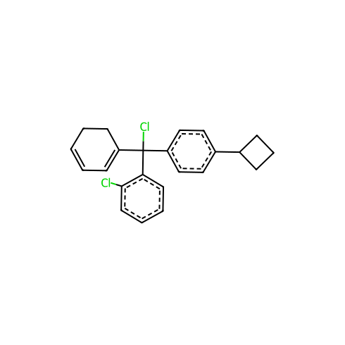 Clc1ccccc1C(Cl)(C1=CC=CCC1)c1ccc(C2CCC2)cc1